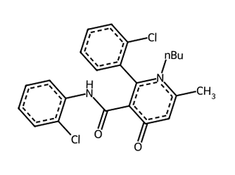 CCCCn1c(C)cc(=O)c(C(=O)Nc2ccccc2Cl)c1-c1ccccc1Cl